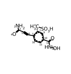 CS(=O)(=O)O.NC(=O)C#Cc1ccc(C(=O)NO)cc1